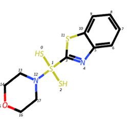 SS(S)(c1nc2ccccc2s1)N1CCOCC1